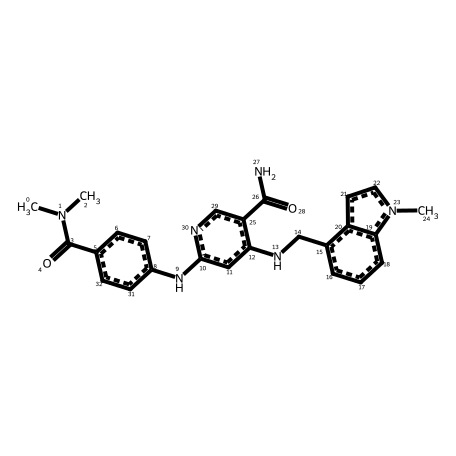 CN(C)C(=O)c1ccc(Nc2cc(NCc3cccc4c3ccn4C)c(C(N)=O)cn2)cc1